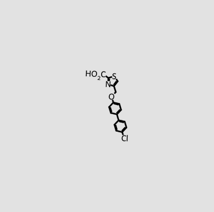 O=C(O)c1nc(COc2ccc(-c3ccc(Cl)cc3)cc2)cs1